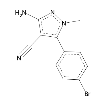 Cn1nc(N)c(C#N)c1-c1ccc(Br)cc1